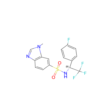 Cn1cnc2ccc(S(=O)(=O)N[C@H](c3ccc(F)cc3)C(F)(F)F)cc21